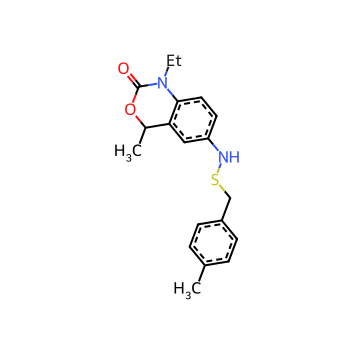 CCN1C(=O)OC(C)c2cc(NSCc3ccc(C)cc3)ccc21